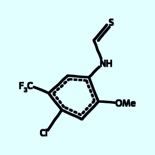 COc1cc(Cl)c(C(F)(F)F)cc1NC=S